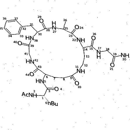 CCCC[C@H](NC(C)=O)C(=O)NC1CCC(=O)NCCC(C(=O)NCC(N)=O)NC(=O)C(C)NC(=O)C(Cc2ccccc2)NC(=O)CNC1=O